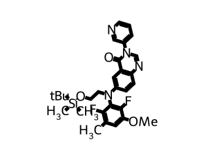 COc1cc(C)c(F)c(N(CCO[Si](C)(C)C(C)(C)C)c2ccc3ncn(-c4cccnc4)c(=O)c3c2)c1F